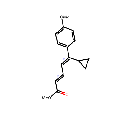 COC(=O)/C=C/C=C(/c1ccc(OC)cc1)C1CC1